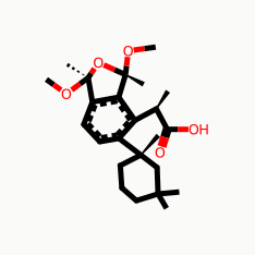 CO[C@@]1(C)O[C@](C)(OC)c2c1ccc([C@@]1(C)CCCC(C)(C)C1)c2[C@@H](C)C(=O)O